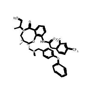 CC(CO)N1C[C@@H](C)[C@@H](CN(C)Cc2ccc(Oc3ccccc3)cc2)Oc2c(NC(=O)Cc3ccc(C(F)(F)F)cc3C(F)(F)F)cccc2C1=O